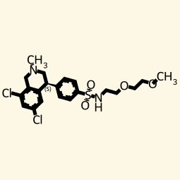 COCCOCCNS(=O)(=O)c1ccc([C@@H]2CN(C)Cc3c(Cl)cc(Cl)cc32)cc1